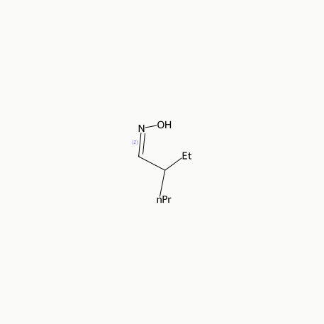 [CH2]CCC(/C=N\O)CC